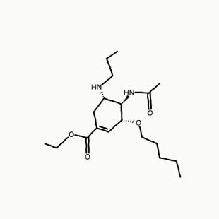 CCCCCO[C@@H]1C=C(C(=O)OCC)C[C@H](NCCC)[C@H]1NC(C)=O